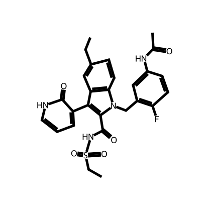 CCc1ccc2c(c1)c(-c1ccc[nH]c1=O)c(C(=O)NS(=O)(=O)CC)n2Cc1cc(NC(C)=O)ccc1F